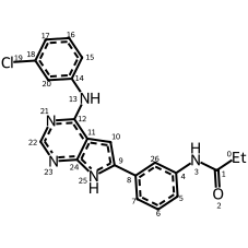 CCC(=O)Nc1cccc(-c2cc3c(Nc4cccc(Cl)c4)ncnc3[nH]2)c1